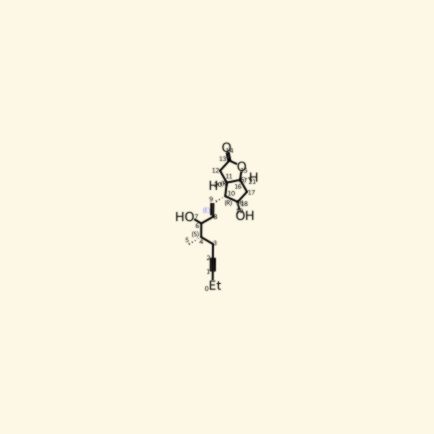 CCC#CC[C@H](C)C(O)/C=C/[C@@H]1[C@H]2CC(=O)O[C@H]2C[C@H]1O